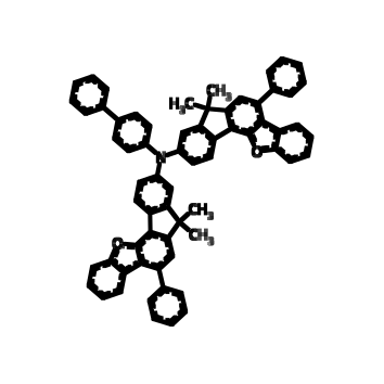 CC1(C)c2cc(N(c3ccc(-c4ccccc4)cc3)c3ccc4c(c3)C(C)(C)c3cc(-c5ccccc5)c5c(oc6ccccc65)c3-4)ccc2-c2c1cc(-c1ccccc1)c1c2oc2ccccc21